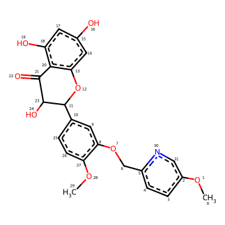 COc1ccc(COc2cc(C3Oc4cc(O)cc(O)c4C(=O)C3O)ccc2OC)nc1